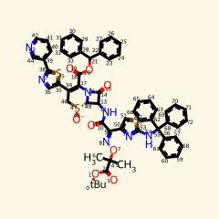 CC(C)(C)OC(=O)C(C)(C)O/N=C(/C(=O)NC1C(=O)N2C(C(=O)OC(c3ccccc3)c3ccccc3)=C(c3cnc(-c4cccnc4)s3)C[S+]([O-])C12)c1csc(NC(c2ccccc2)(c2ccccc2)c2ccccc2)n1